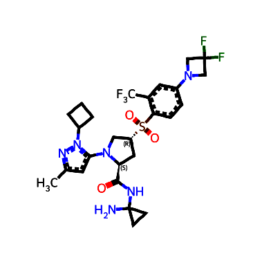 Cc1cc(N2C[C@H](S(=O)(=O)c3ccc(N4CC(F)(F)C4)cc3C(F)(F)F)C[C@H]2C(=O)NC2(N)CC2)n(C2CCC2)n1